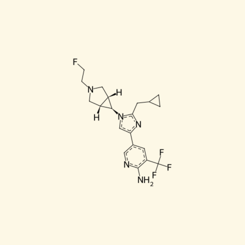 Nc1ncc(-c2cn([C@H]3[C@@H]4CN(CCF)C[C@@H]43)c(CC3CC3)n2)cc1C(F)(F)F